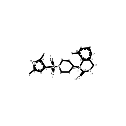 Cc1cc(S(=O)(=O)N2CCC(N3C(=O)OCc4cccc(C)c43)CC2)c(C)o1